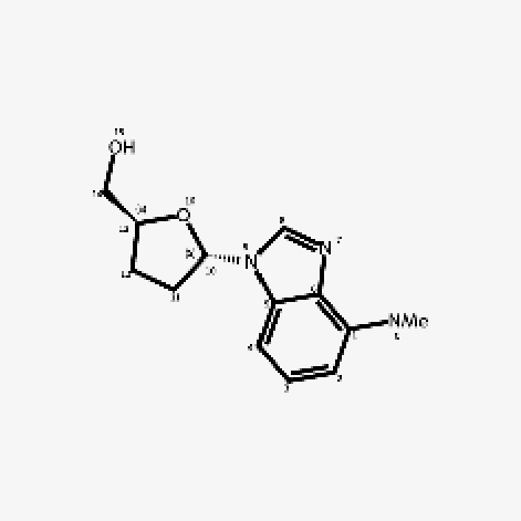 CNc1cccc2c1ncn2[C@@H]1CC[C@@H](CO)O1